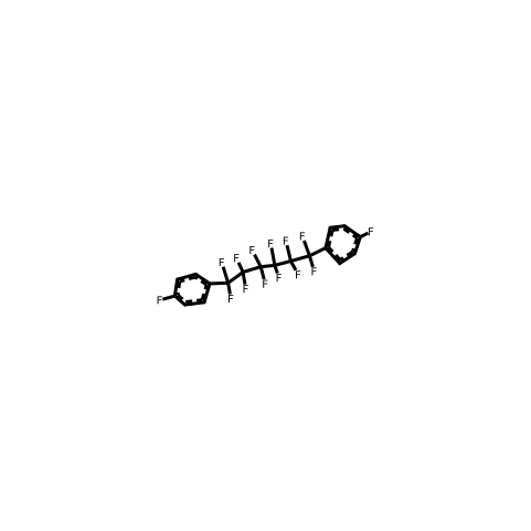 Fc1ccc(C(F)(F)C(F)(F)C(F)(F)C(F)(F)C(F)(F)C(F)(F)c2ccc(F)cc2)cc1